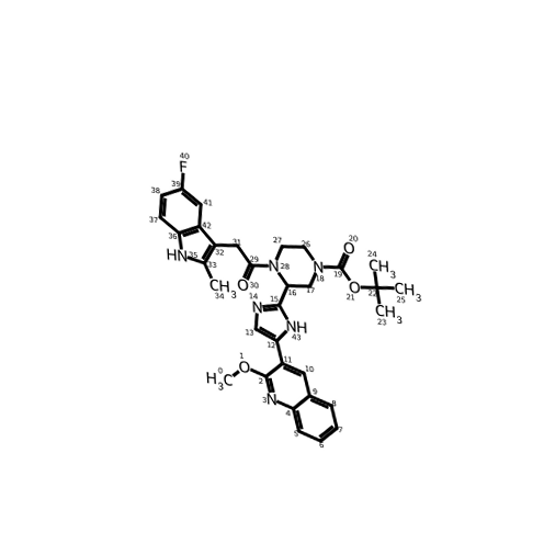 COc1nc2ccccc2cc1-c1cnc(C2CN(C(=O)OC(C)(C)C)CCN2C(=O)Cc2c(C)[nH]c3ccc(F)cc23)[nH]1